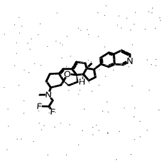 CN(CC(F)F)C1CCC2=CC3=CCC4(C)C(c5ccc6ccncc6c5)CC[C@H]4[C@@]34CC[C@]2(C1)O4